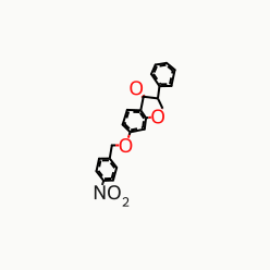 O=C1c2ccc(OCc3ccc([N+](=O)[O-])cc3)cc2OCC1c1ccccc1